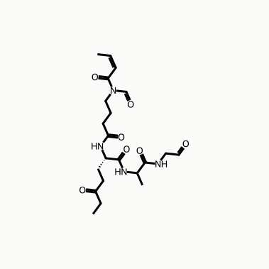 C/C=C\C(=O)N(C=O)CCCC(=O)N[C@@H](CCC(=O)CC)C(=O)NC(C)C(=O)NCC=O